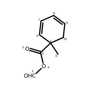 CC1(C(=O)OC=O)C=CC=CC1